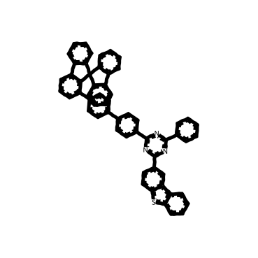 c1ccc(-c2nc(-c3ccc(-c4ccc(-c5cccc6c5C5(c7ccccc7-c7ccccc75)c5ccccc5-6)cc4)cc3)nc(-c3ccc4sc5ccccc5c4c3)n2)cc1